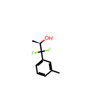 Cc1cccc(C(F)(F)[C@@H](C)O)c1